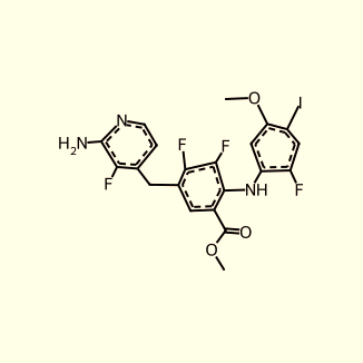 COC(=O)c1cc(Cc2ccnc(N)c2F)c(F)c(F)c1Nc1cc(OC)c(I)cc1F